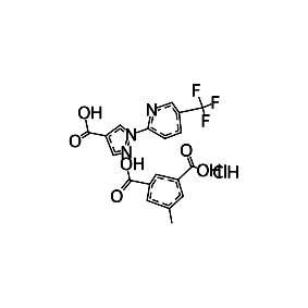 Cc1cc(C(=O)O)cc(C(=O)O)c1.Cl.O=C(O)c1cnn(-c2ccc(C(F)(F)F)cn2)c1